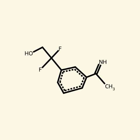 CC(=N)c1cccc(C(F)(F)CO)c1